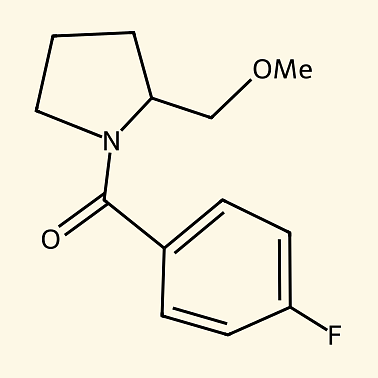 COCC1CCCN1C(=O)c1ccc(F)cc1